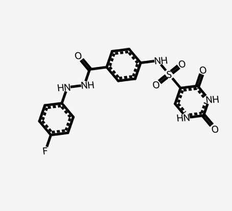 O=C(NNc1ccc(F)cc1)c1ccc(NS(=O)(=O)c2c[nH]c(=O)[nH]c2=O)cc1